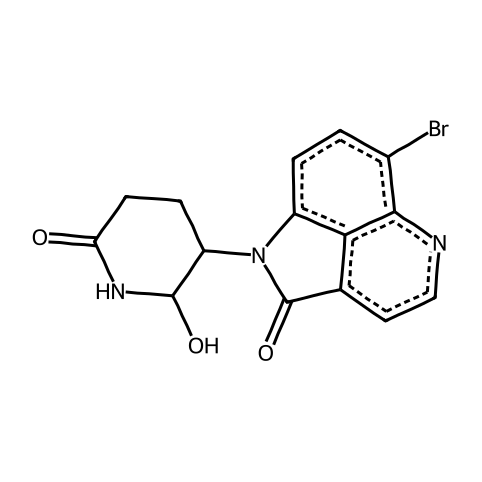 O=C1CCC(N2C(=O)c3ccnc4c(Br)ccc2c34)C(O)N1